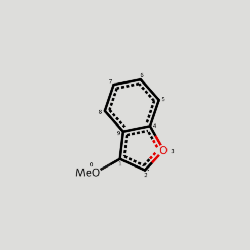 COc1[c]oc2ccccc12